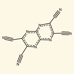 N#Cc1nc2nc(C#N)c(C#N)nc2nc1C#N